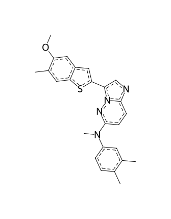 COc1cc2cc(-c3cnc4ccc(N(C)c5ccc(C)c(C)c5)nn34)sc2cc1C